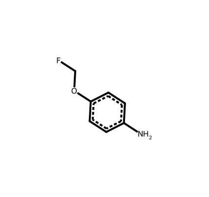 Nc1ccc(OCF)cc1